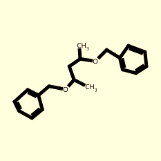 CC(CC(C)OCc1ccccc1)OCc1ccccc1